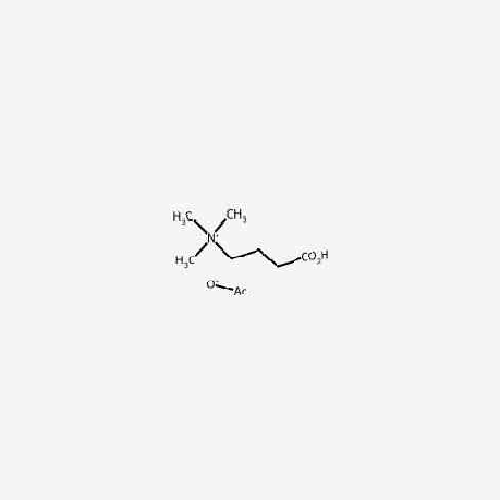 CC(=O)[O-].C[N+](C)(C)CCCC(=O)O